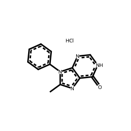 Cc1nc2c(=O)[nH]cnc2n1-c1ccccc1.Cl